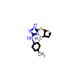 Cc1ccc(Nc2n[nH]c(Sc3sccc3C)n2)cc1